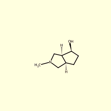 CN1C[C@@H]2CC[C@H](O)[C@@H]2C1